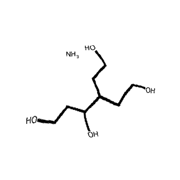 N.OCCC(O)C(CCO)CCO